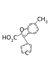 Cc1ccc2c(-c3ccccc3)c(C(=O)O)oc2c1